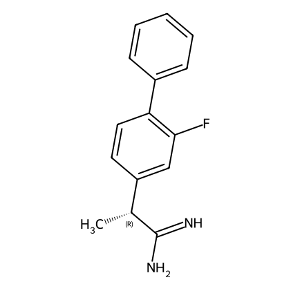 C[C@@H](C(=N)N)c1ccc(-c2ccccc2)c(F)c1